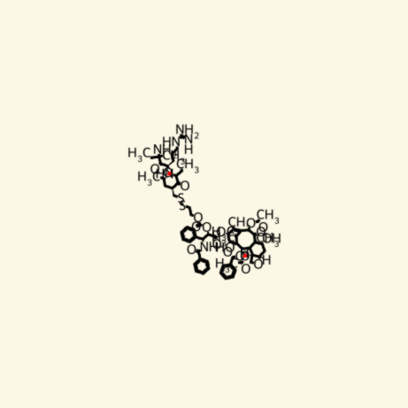 CCC(N[C@H](CCCNC(=N)N)C(=O)C(C)(N)CC)C(=O)[C@@H](CSSCCOC(=O)O[C@@H](C(=O)O[C@H]1C[C@@]2(O)[C@@H](OC(=O)c3ccccc3)[C@@H]3[C@]4(OC(C)=O)CO[C@@H]4C[C@H](O)[C@@]3(C)C(=O)[C@H](OC(C)=O)C(=C1C)C2(C)C)[C@@H](NC(=O)c1ccccc1)c1ccccc1)CC(C)=O